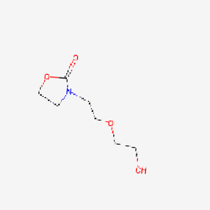 O=C1OCCN1CCOCCO